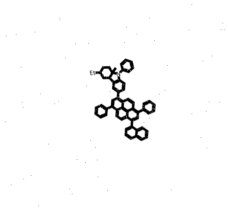 CCC1CCC2(C)C(C1)c1cc(-c3cc(-c4ccccc4)c4ccc5c(-c6cccc7ccccc67)cc(-c6ccccc6)c6ccc3c4c65)ccc1N2c1ccccc1